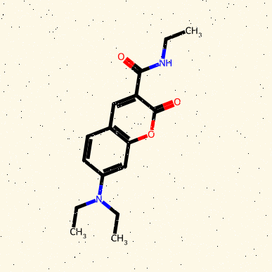 CCNC(=O)c1cc2ccc(N(CC)CC)cc2oc1=O